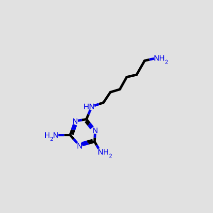 NCCCCCCNc1nc(N)nc(N)n1